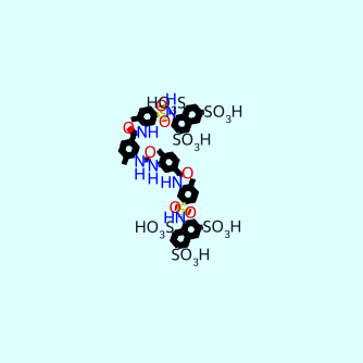 Cc1ccc(C(=O)Nc2cc(S(=O)(=O)Nc3cc(S(=O)(=O)O)cc4cc(S(=O)(=O)O)cc(S(=O)(=O)O)c34)ccc2C)cc1NC(=O)Nc1cc(C(=O)Nc2cc(S(=O)(=O)Nc3cc(S(=O)(=O)O)cc4cc(S(=O)(=O)O)cc(S(=O)(=O)O)c34)ccc2C)ccc1C